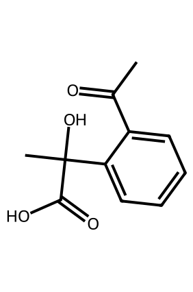 CC(=O)c1ccccc1C(C)(O)C(=O)O